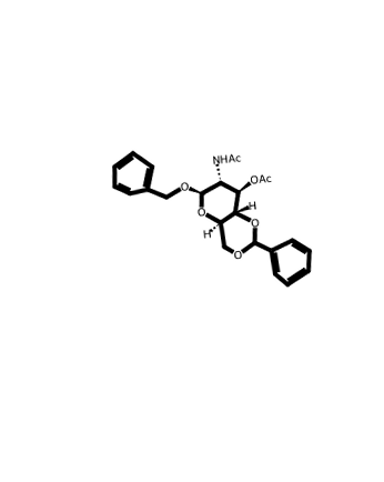 CC(=O)N[C@H]1[C@H](OCc2ccccc2)O[C@@H]2COC(c3ccccc3)O[C@H]2[C@@H]1OC(C)=O